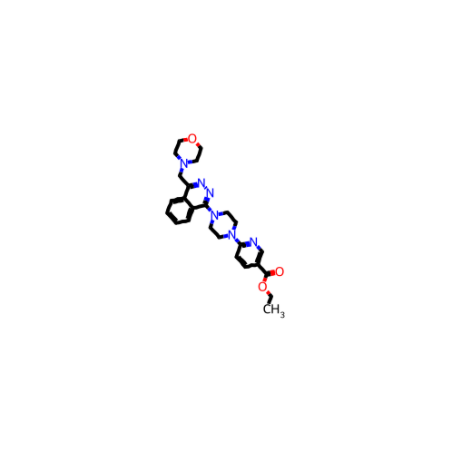 CCOC(=O)c1ccc(N2CCN(c3nnc(CN4CCOCC4)c4ccccc34)CC2)nc1